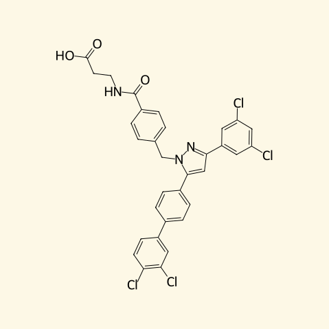 O=C(O)CCNC(=O)c1ccc(Cn2nc(-c3cc(Cl)cc(Cl)c3)cc2-c2ccc(-c3ccc(Cl)c(Cl)c3)cc2)cc1